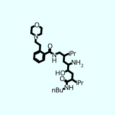 CCCCNC(=O)C(CC(O)C(N)CC(CNC(=O)c1ccccc1CCN1CCOCC1)C(C)C)C(C)C